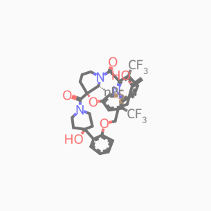 C=C(O)C(C)(C)CCCOc1ccccc1C1(O)CCN(C(=O)[C@]2(Oc3csc(C(F)(F)F)c3)CCCN(C(=O)c3ncccc3C(F)(F)F)[C@@H]2CCC)CC1